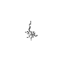 CC=CC=CC(O)[SiH2]C(OCC)(OCC)OCC